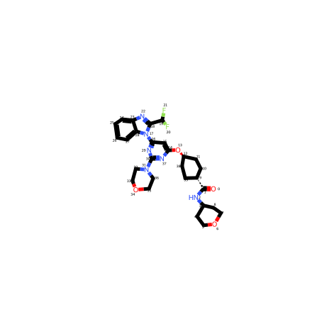 O=C(NC1CCOCC1)[C@H]1CC[C@H](Oc2cc(-n3c(C(F)F)nc4ccccc43)nc(N3CCOCC3)n2)CC1